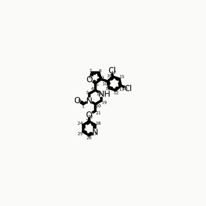 O=CN1CC(c2occc2-c2ccc(Cl)cc2Cl)NCC1COc1cccnc1